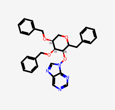 [CH]1OC(Cc2ccccc2)[C@@H](On2cnc3cncnc32)[C@@H](OCc2ccccc2)[C@H]1OCc1ccccc1